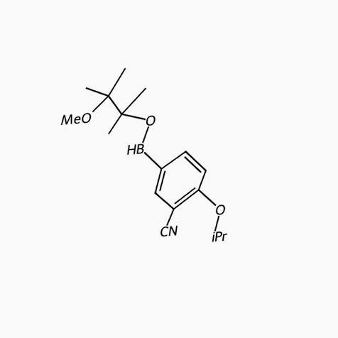 COC(C)(C)C(C)(C)OBc1ccc(OC(C)C)c(C#N)c1